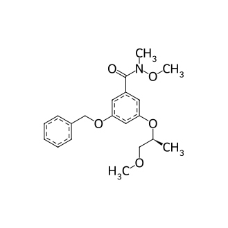 COC[C@H](C)Oc1cc(OCc2ccccc2)cc(C(=O)N(C)OC)c1